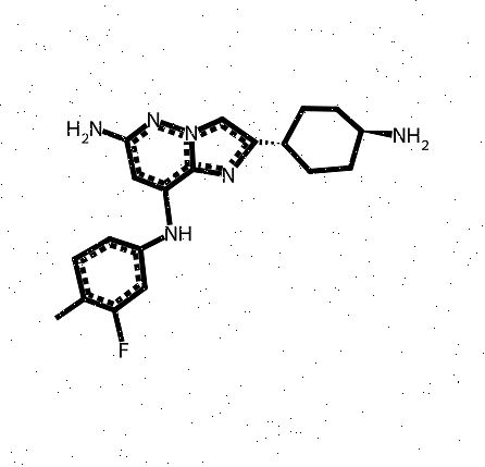 Cc1ccc(Nc2cc(N)nn3cc([C@H]4CC[C@H](N)CC4)nc23)cc1F